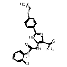 NC(=O)c1nc(-c2ccc(OCC(=O)O)cc2)[nH]c1NC(=O)Nc1ccccc1Cl